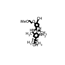 C#Cc1cc2nc(C)nc(N[C@H](C)c3cc(N)cc(C(F)(F)C(C)(C)O)c3)c2cc1OCCOC